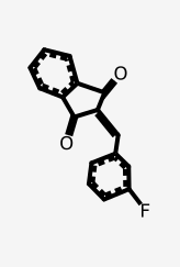 O=C1C(=Cc2cccc(F)c2)C(=O)c2ccccc21